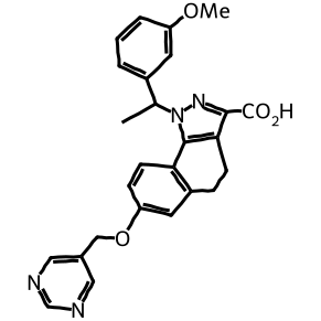 COc1cccc(C(C)n2nc(C(=O)O)c3c2-c2ccc(OCc4cncnc4)cc2CC3)c1